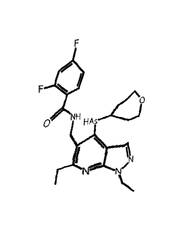 CCc1nc2c(cnn2CC)c([AsH]C2CCOCC2)c1CNC(=O)c1ccc(F)cc1F